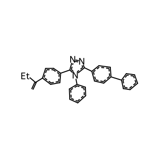 C=C(CC)c1ccc(-c2nnc(-c3ccc(-c4ccccc4)cc3)n2-c2ccccc2)cc1